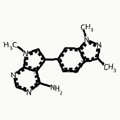 Cc1nn(C)c2cc(-c3cn(C)c4ncnc(N)c34)ccc12